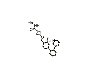 CC(C)(C)NC(=O)N1CC(OCc2ccc(-c3ccccc3-c3cccnc3)cc2C(F)(F)F)C1